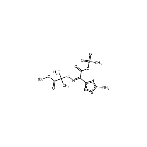 CC(C)(C)OC(=O)C(C)(C)ON=C(C(=O)OS(C)(=O)=O)c1nsc(N)n1